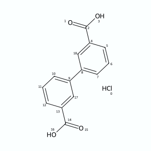 Cl.O=C(O)c1cccc(-c2cccc(C(=O)O)c2)c1